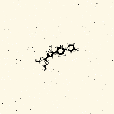 CCOC(OCC)c1cc(-c2ccc(N3CC[C@@H](F)C3)nc2)[nH]n1